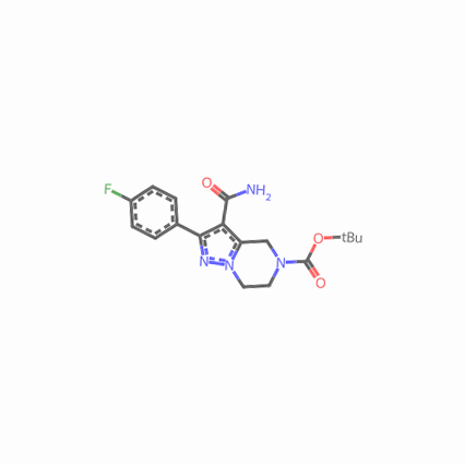 CC(C)(C)OC(=O)N1CCn2nc(-c3ccc(F)cc3)c(C(N)=O)c2C1